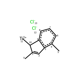 CC1=Cc2c(C)cccc2[CH]1[Ti+2].[Cl-].[Cl-]